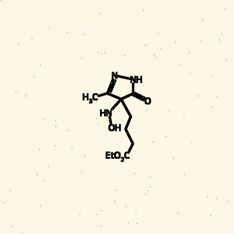 CCOC(=O)CCCC1(NO)C(=O)NN=C1C